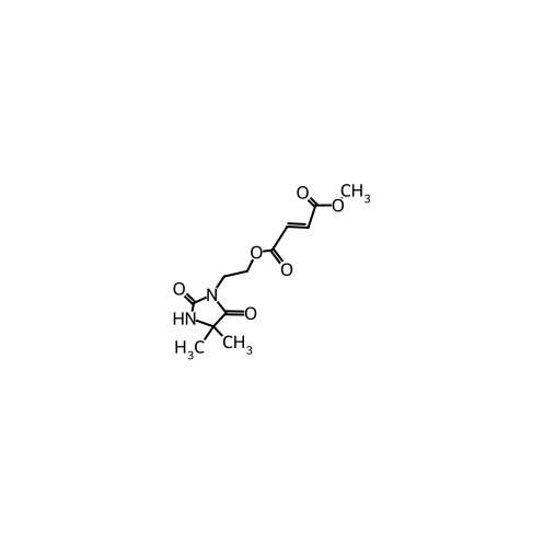 COC(=O)/C=C/C(=O)OCCN1C(=O)NC(C)(C)C1=O